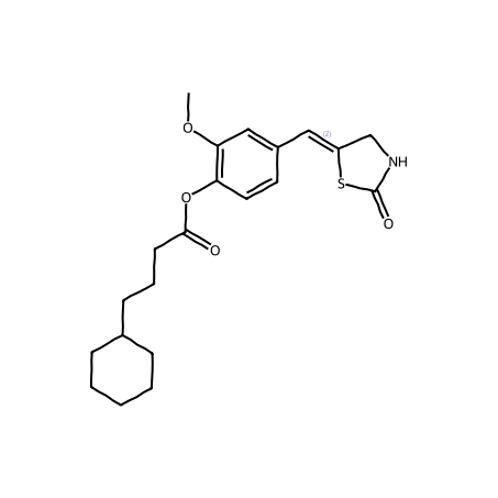 COc1cc(/C=C2/CNC(=O)S2)ccc1OC(=O)CCCC1CCCCC1